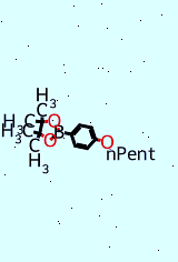 CCCCCOc1ccc(B2OC(C)(C)C(C)(C)O2)cc1